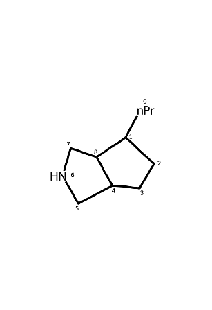 CCCC1CCC2CNCC12